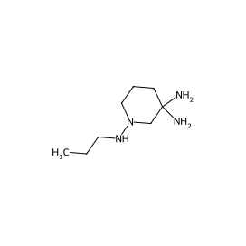 CCCNN1CCCC(N)(N)C1